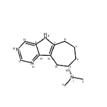 CN(C)[C@H]1CCCc2[nH]c3cncnc3c2C1